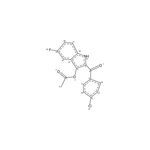 CC(=O)Oc1c(C(=O)c2ccc(Cl)cc2)[nH]c2ccc(F)cc12